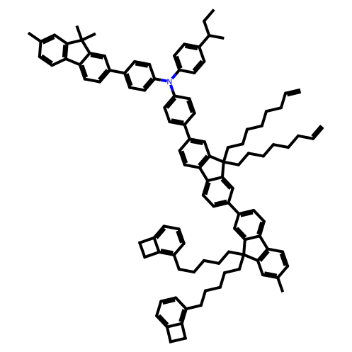 C=CCCCCCCC1(CCCCCCC=C)c2cc(-c3ccc(N(c4ccc(-c5ccc6c(c5)C(C)(C)c5cc(C)ccc5-6)cc4)c4ccc(C(C)CC)cc4)cc3)ccc2-c2ccc(-c3ccc4c(c3)C(CCCCCc3cccc5c3CC5)(CCCCCc3cccc5c3CC5)c3cc(C)ccc3-4)cc21